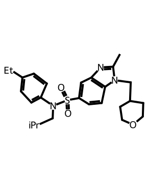 CCc1ccc(N(CC(C)C)S(=O)(=O)c2ccc3c(c2)nc(C)n3CC2CCOCC2)cc1